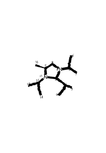 CC(C)C1N(C(C)C)C[C@H](C)N1C(C)C